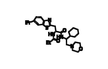 CCC(=O)NC(Cc1nc2ccc(C(C)C)cc2s1)C(=O)NC(CN1CCOCC1)C1CCCCC1